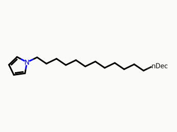 CCCCCCCCCCCCCCCCCCCCCCn1cccc1